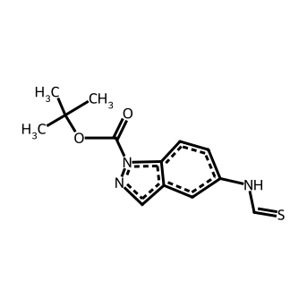 CC(C)(C)OC(=O)n1ncc2cc(NC=S)ccc21